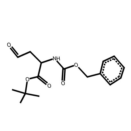 CC(C)(C)OC(=O)C(CC=O)NC(=O)OCc1ccccc1